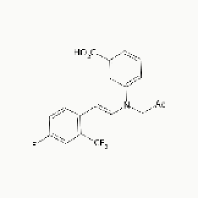 CC(=O)CN(C=Cc1ccc(F)cc1C(F)(F)F)c1cccc(C(=O)O)c1